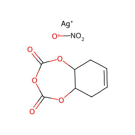 O=C1OC(=O)OC2CC=CCC2O1.O=[N+]([O-])[O-].[Ag+]